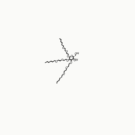 CCCCCCOCCOCCOC1O[C@H](CO)[C@@H](O)[C@H](OCCOCCOCCCCCC)[C@H]1OCCOCCOCCCCCC